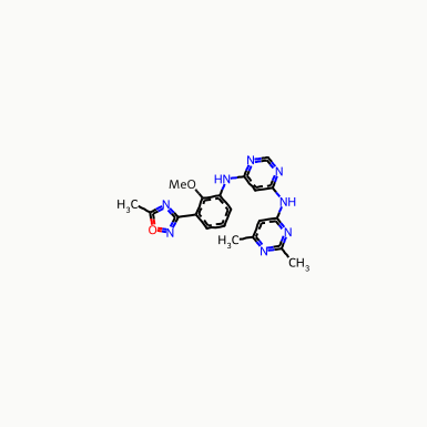 COc1c(Nc2cc(Nc3cc(C)nc(C)n3)ncn2)cccc1-c1noc(C)n1